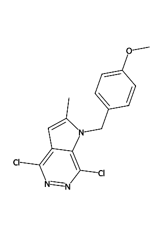 COc1ccc(Cn2c(C)cc3c(Cl)nnc(Cl)c32)cc1